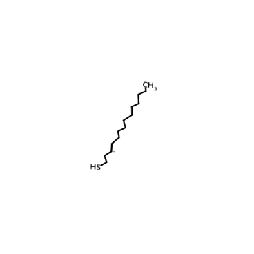 CCCCCCCCCCC[CH]CCS